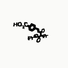 CC(C)OC(=O)C(C(=O)C=Cc1ccc(C(=O)O)cc1)C(C)C